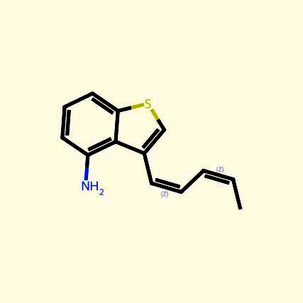 C/C=C\C=C/c1csc2cccc(N)c12